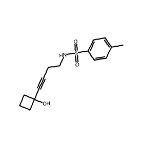 Cc1ccc(S(=O)(=O)NCCC#CC2(O)CCC2)cc1